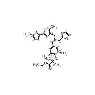 CCOC(=O)C(C)(C)Oc1c(C)cc(CN(Cc2ncco2)Cc2nc(-c3ccc(C)s3)oc2C)cc1C